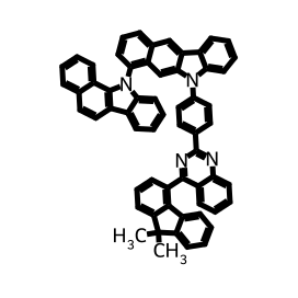 CC1(C)c2ccccc2-c2c(-c3nc(-c4ccc(-n5c6ccccc6c6cc7cccc(-n8c9ccccc9c9ccc%10ccccc%10c98)c7cc65)cc4)nc4ccccc34)cccc21